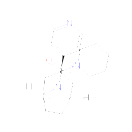 O=C(N1CCCCC1)N1[C@@H]2CC[C@H]1C[C@@H](c1ccncc1)C2